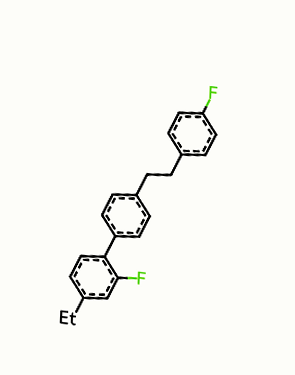 CCc1ccc(-c2ccc(CCc3ccc(F)cc3)cc2)c(F)c1